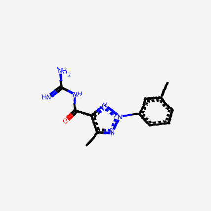 Cc1cccc(-n2nc(C)c(C(=O)NC(=N)N)n2)c1